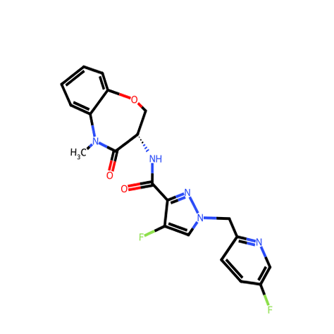 CN1C(=O)[C@@H](NC(=O)c2nn(Cc3ccc(F)cn3)cc2F)COc2ccccc21